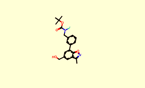 Cc1noc2c(-c3cccc(CN(F)C(=O)OC(C)(C)C)c3)cc(CO)cc12